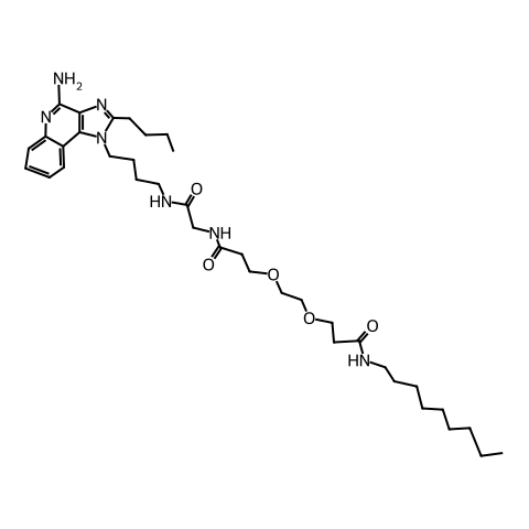 CCCCCCCCCNC(=O)CCOCCOCCC(=O)NCC(=O)NCCCCn1c(CCCC)nc2c(N)nc3ccccc3c21